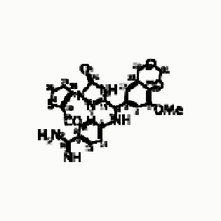 COc1cc(C(Nc2ccc(C(=N)N)cc2)c2nn(C3=C(C(=O)O)SCC3)c(=O)[nH]2)cc2c1OCOC2